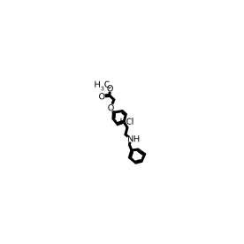 COC(=O)COc1ccc(CCNCc2ccccc2)cc1.Cl